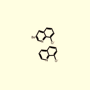 [Be+2].[O-]c1cccc2cccnc12.[O-]c1cccc2cccnc12